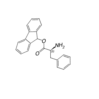 N[C@@H](Cc1ccccc1)C(=O)OC1c2ccccc2-c2ccccc21